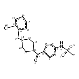 CS(=O)(=O)Nc1ccc(C(=O)C2CCN(Cc3ccccc3Cl)CC2)cc1